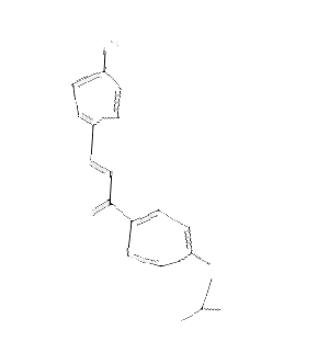 CC(Oc1ccc(C(=O)/C=C/c2ccc(C#N)cc2)cc1)C(=O)O